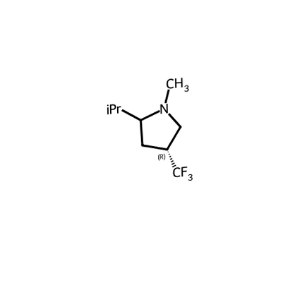 CC(C)C1C[C@@H](C(F)(F)F)CN1C